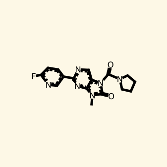 Cn1c(=O)n(C(=O)N2CCCC2)c2cnc(-c3ccc(F)nc3)nc21